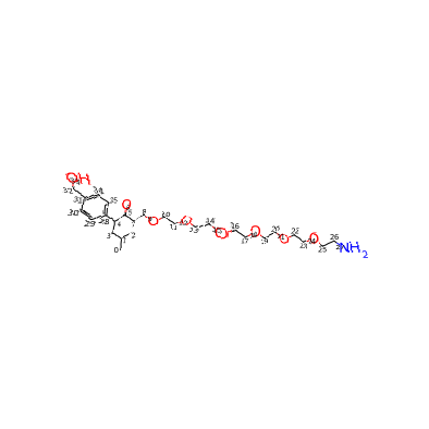 CC(C)CC(C(=O)CCOCCOCCOCCOCCOCCOCCN)c1ccc(CO)cc1